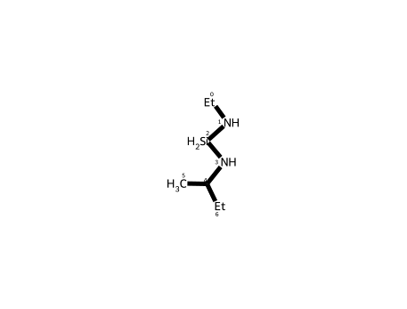 CCN[SiH2]NC(C)CC